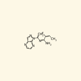 C=C(/N=C(N)\C(F)=C/C)n1ncc2nccnc21